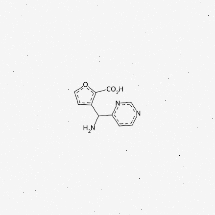 NC(c1ccncn1)c1ccoc1C(=O)O